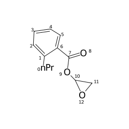 CCCc1ccccc1C(=O)OC1CO1